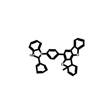 CC12C=CC=CC1c1c(c(-c3ccc(N4c5ccccc5NC4c4ccccc4)cc3)cc3c1oc1ccccc13)O2